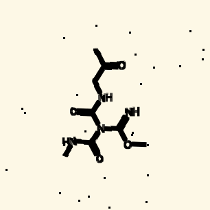 CNC(=O)N(C(=N)OC)C(=O)NCC(C)=O